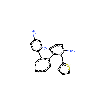 Nc1ccc(-c2ccccc2-c2c(N)ccc(N)c2-c2cccs2)cc1